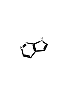 [c]1cnnc2[nH]ccc12